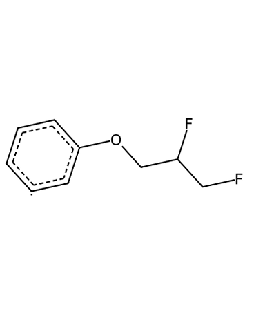 FCC(F)COc1c[c]ccc1